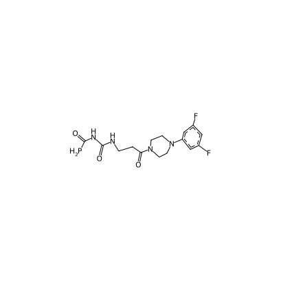 O=C(P)NC(=O)NCCC(=O)N1CCN(c2cc(F)cc(F)c2)CC1